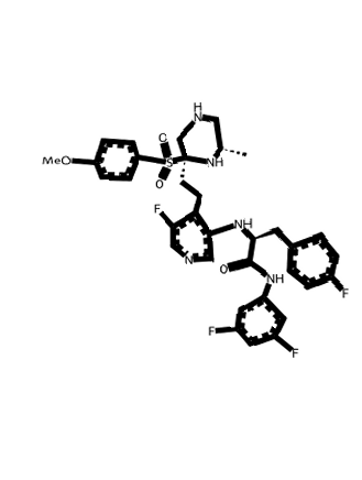 COc1ccc(S(=O)(=O)[C@@]2(CCc3c(F)cncc3N[C@@H](Cc3ccc(F)cc3)C(=O)Nc3cc(F)cc(F)c3)CNC[C@H](C)N2)cc1